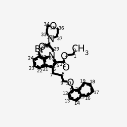 CCOC(=O)c1c(CCCOc2cccc3ccccc23)c2cccc(Br)c2n1CC(=O)N1CCOCC1